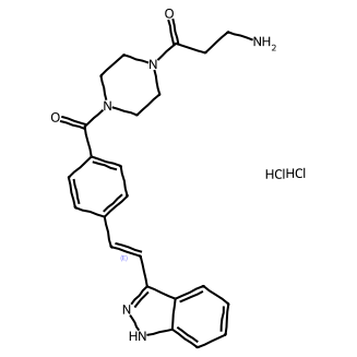 Cl.Cl.NCCC(=O)N1CCN(C(=O)c2ccc(/C=C/c3n[nH]c4ccccc34)cc2)CC1